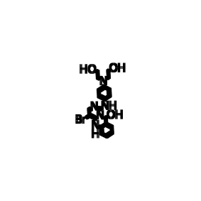 OCCN(CCO)c1ccc(Nc2ncc(Br)c(Nc3ccccc3CO)n2)cc1